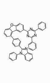 c1ccc(-c2nc(-c3ccccc3)nc(-c3ccc4oc5cccc(-c6ccc(-c7nc8ccccc8n7-c7ccccc7)cc6)c5c4c3)n2)cc1